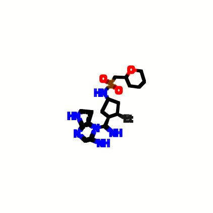 CC[C@@H]1C[C@H](NS(=O)(=O)CC2CCCCO2)C[C@@H]1C(=N)n1c(=N)cnc2[nH]ccc21